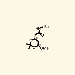 CCCCNC(=O)C[C@H]1C[C@@H](OC)OC(C)(C)O1